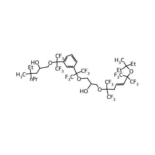 CCCC(C)(CC)CC(O)COC(c1cccc(C(OCC(O)COC(C/C=C/C(OC(C)(CC)CC)(C(F)(F)F)C(F)(F)F)(C(F)(F)F)C(F)(F)F)(C(F)(F)F)C(F)(F)F)c1)(C(F)(F)F)C(F)(F)F